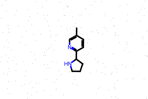 Cc1ccc(C2CCCN2)nc1